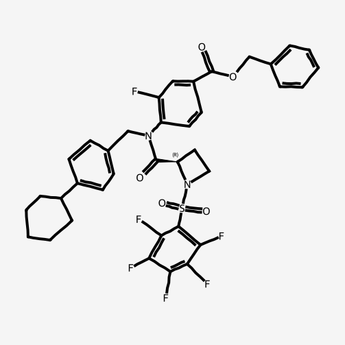 O=C(OCc1ccccc1)c1ccc(N(Cc2ccc(C3CCCCC3)cc2)C(=O)[C@H]2CCN2S(=O)(=O)c2c(F)c(F)c(F)c(F)c2F)c(F)c1